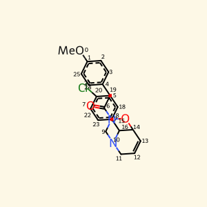 COc1ccc(CC(=O)N2CN3CC=CC(O2)C3c2ccc(Cl)cc2)cc1